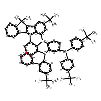 Cc1cc2c3c(c1)-n1c4c(c5cc(C(C)(C)C)cc(c51)B3c1ccc(N(c3ccc(C(C)(C)C)cc3)c3ccc(C(C)(C)C)cc3)cc1N2c1ccc(C(C)(C)C)cc1-c1ccccc1)C(C)(C)c1ccccc1-4